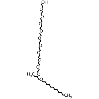 CCCCCCCCCCCCOCC(CC)OCCOCCOCCOCCOCCOCCOCCOCCOCCOCCO